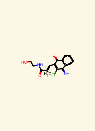 C/C(=C\C1=C(Cl)C(=N)c2ccccc2C1=O)C(=O)NCCO